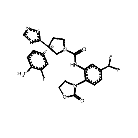 Cc1ccc([C@]2(c3ncns3)CCN(C(=O)Nc3cc(C(F)F)ccc3N3CCOC3=O)C2)cc1F